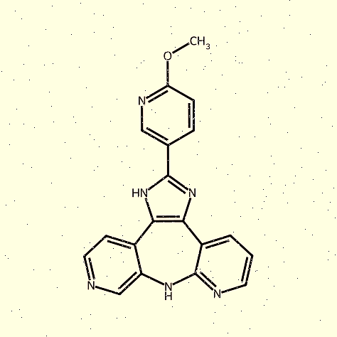 COc1ccc(-c2nc3c([nH]2)-c2ccncc2Nc2ncccc2-3)cn1